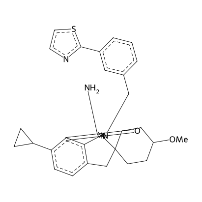 COC1CCC2(CC1)Cc1ccc(C3CC3)cc1C21N=C(N)N(Cc2cccc(-c3nccs3)c2)C1=O